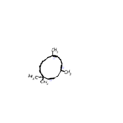 C/C1=C/C/C=C(/C)CCCCC(C)(C)/C=C\C1